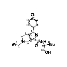 CC(C)CN1CCn2c(-c3ccc(Cl)cc3)nc(C(=O)N[C@H](CO)C(C)(C)C)c2C1